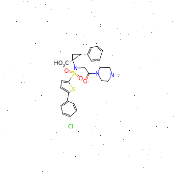 CN1CCN(C(=O)CN([C@@]2(C(=O)O)C[C@@H]2c2ccccc2)S(=O)(=O)c2ccc(-c3ccc(Cl)cc3)s2)CC1